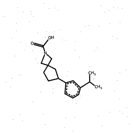 CC(C)c1cccc(C2CCC3(C2)CN(C(=O)O)C3)c1